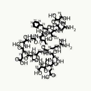 CC[C@H](C)[C@H](NC(=O)CNC(=O)[C@H](CO)NC(=O)[C@H](CCC(=O)O)NC(=O)[C@H](CO)NC(=O)CNC(=O)[C@H](CCCNC(=N)N)NC(=O)[C@H](CO)NC(=O)[C@H](CCC(=O)O)NC(=O)[C@@H](N)[C@@H](C)O)C(=O)N[C@@H](Cc1ccccc1)C(=O)N[C@H](C(=O)N[C@@H](CC(N)=O)C(=O)N[C@H](C(=O)O)[C@@H](C)O)[C@@H](C)O